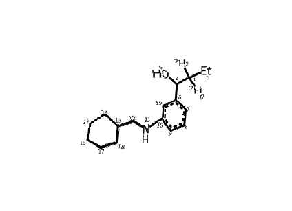 [2H]C([2H])(CC)C(O)c1cccc(NCC2CCCCC2)c1